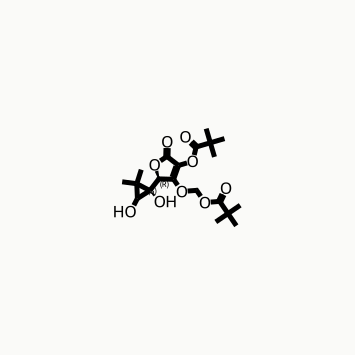 CC(C)(C)C(=O)OCOC1=C(OC(=O)C(C)(C)C)C(=O)O[C@@H]1[C@@]1(O)C(O)C1(C)C